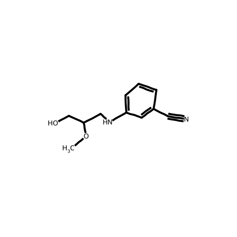 COC(CO)CNc1cccc(C#N)c1